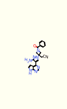 N#CCC1(n2cc(-c3ncnc4[nH]ccc34)c(N)n2)CN(C(=O)c2ccccc2)C1